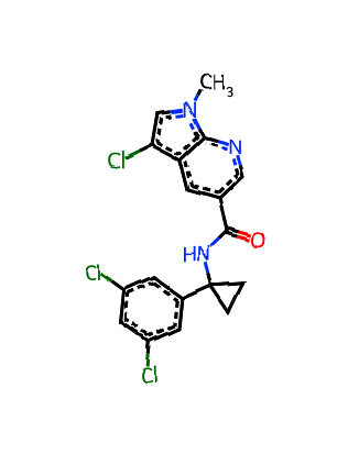 Cn1cc(Cl)c2cc(C(=O)NC3(c4cc(Cl)cc(Cl)c4)CC3)cnc21